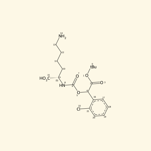 CC(C)(C)OC(=O)C(OC(=O)N[C@@H](CCCCN)C(=O)O)c1ccccc1Cl